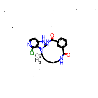 C[C@H]1CCCCNC(=O)c2cccc(c2)C(=O)/N=C2\Nc3ccnc(Cl)c3N21